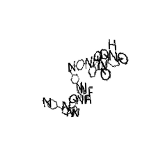 CN1CCC(c2ccn3ncc(C(=O)Nc4cn([C@H]5CC[C@H](CN(C)[C@H]6CC[C@H](Nc7cccc8c7C(=O)N(C7CCC(=O)NC7=O)C8=O)CC6)CC5)nc4C(F)F)c3n2)CC1